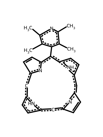 Cc1nc(C)c(C)c(-c2c3nc(cc4ccc(cc5nc(cc6ccc2[nH]6)C=C5)[nH]4)C=C3)c1C